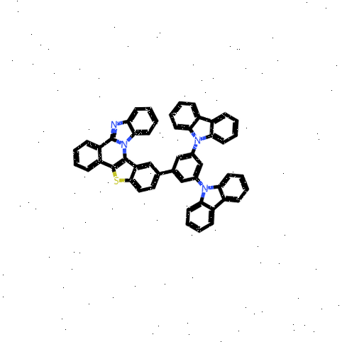 c1ccc2c(c1)nc1c3ccccc3c3sc4ccc(-c5cc(-n6c7ccccc7c7ccccc76)cc(-n6c7ccccc7c7ccccc76)c5)cc4c3n21